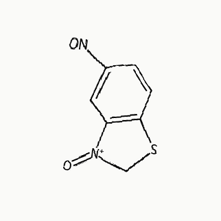 O=Nc1ccc2c(c1)[N+](=O)CS2